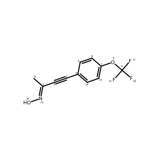 CC(C#Cc1ccc(OC(F)(F)F)cc1)=NO